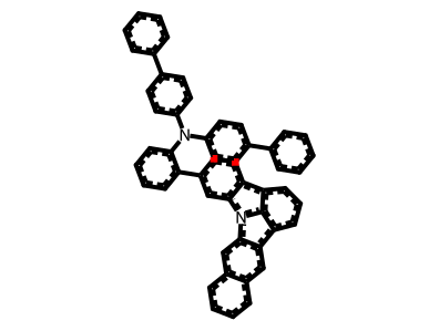 c1ccc(-c2ccc(N(c3ccc(-c4ccccc4)cc3)c3ccccc3-c3ccc4c5cccc6c7cc8ccccc8cc7n(c4c3)c56)cc2)cc1